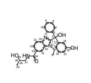 CCn1c(C(O)(c2ccccc2)c2cccc(O)c2)nc2ccc(C(=O)NC[C@@H](C)O)cc21